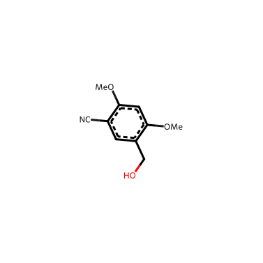 COc1cc(OC)c(CO)cc1C#N